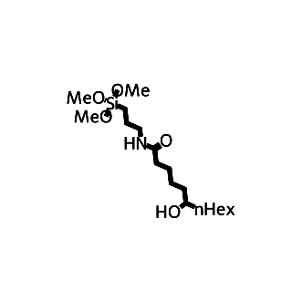 CCCCCCC(O)CCCCC(=O)NCCC[Si](OC)(OC)OC